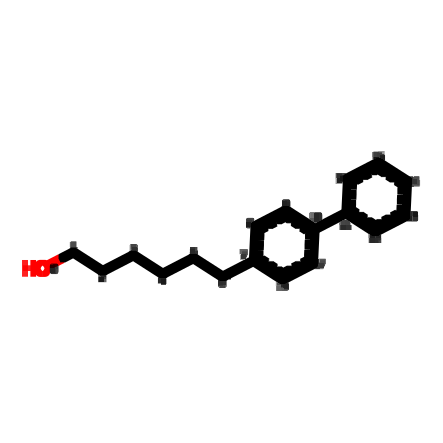 OCCCCC[CH]c1ccc(-c2ccccc2)cc1